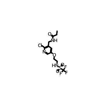 CCC(=O)NCc1cc(OCCNS(=O)(=O)C(F)(F)F)cnc1Cl